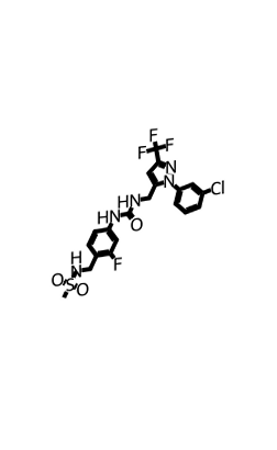 CS(=O)(=O)NCc1ccc(NC(=O)NCc2cc(C(F)(F)F)nn2-c2cccc(Cl)c2)cc1F